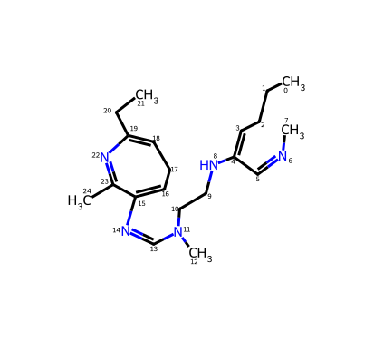 CCC/C=C(\C=N/C)NCCN(C)/C=N\C1=CCC=C(CC)N=C1C